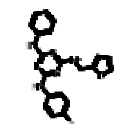 Fc1ccc(Nc2nc(NCc3ccco3)nc(Nc3ccccc3)n2)cc1